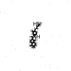 C=C(Nc1ccc(CCCCNC)c(C)c1)c1ccc2c(c1C)C=CC(C)(C)C2C